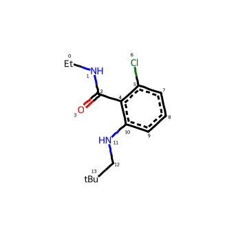 CCNC(=O)c1c(Cl)cccc1NCC(C)(C)C